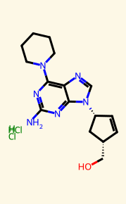 Cl.Cl.Nc1nc(N2CCCCC2)c2ncn([C@@H]3C=C[C@H](CO)C3)c2n1